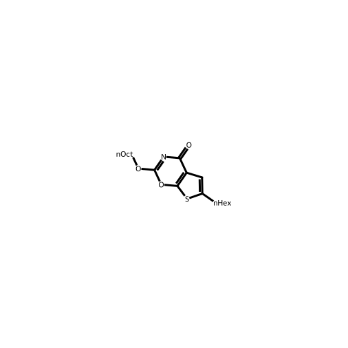 CCCCCCCCOc1nc(=O)c2cc(CCCCCC)sc2o1